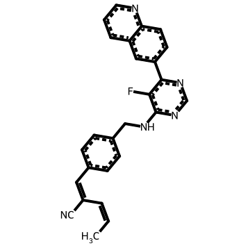 C/C=C\C(C#N)=C/c1ccc(CNc2ncnc(-c3ccc4ncccc4c3)c2F)cc1